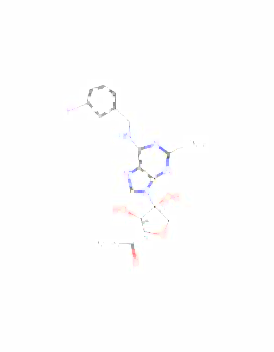 CNC(=O)[C@H]1OC[C@@](O)(n2cnc3c(NCc4cccc(I)c4)nc(SC)nc32)[C@@H]1O